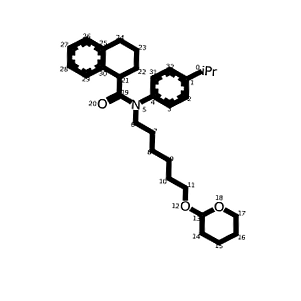 CC(C)c1ccc(N(CCCCCCOC2CCCCO2)C(=O)C2CCCc3ccccc32)cc1